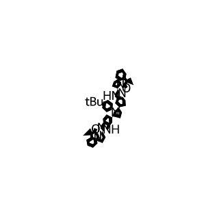 CC(C)(C)c1ccc(N2[C@@H](c3ccc4nc([C@@H]5CCCN5C(=O)C5(c6ccccc6)CC5)[nH]c4c3)CC[C@@H]2c2ccc3nc([C@@H]4CCCN4C(=O)C4(c5ccccc5)CC4)[nH]c3c2)cc1